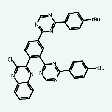 CC(C)(C)c1ccc(-c2ncnc(-c3ccc(-c4nc5ccccc5nc4Cl)c(-c4ncnc(-c5ccc(C(C)(C)C)cc5)n4)c3)n2)cc1